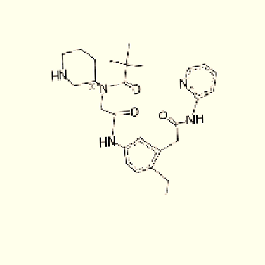 CCc1ccc(NC(=O)CN(C(=O)C(C)(C)C)[C@@H]2CCCNC2)cc1CC(=O)Nc1ccccn1